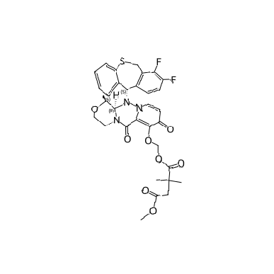 COC(=O)CC(C)(C)C(=O)OCOc1c2n(ccc1=O)N([C@@H]1c3ccccc3SCc3c1ccc(F)c3F)[C@@H]1[C@H](C)OCCN1C2=O